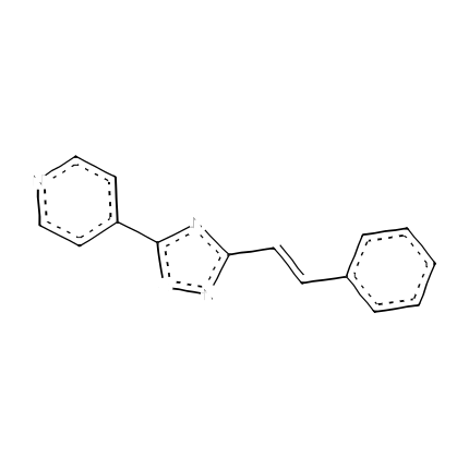 C(=Cc1noc(-c2ccncc2)n1)c1ccccc1